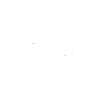 OCC1O[C@@H](S[C@@H]2O[C@H](CO)C(O)C(n3cc(C4CCOCC4)nn3)[C@H]2O)C(O)C(n2cc(-c3cc(F)c(F)c(F)c3)nn2)[C@H]1O